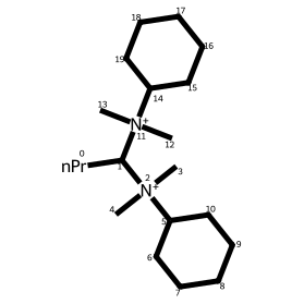 CCCC([N+](C)(C)C1CCCCC1)[N+](C)(C)C1CCCCC1